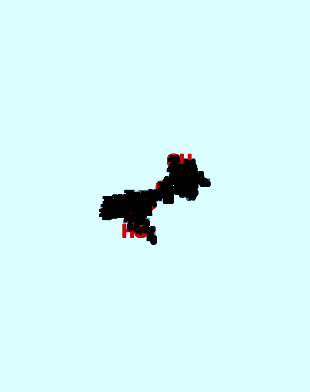 C=CCC(O)CC1[C@@H](OC)C(CC(CO[Si](CC)(CC)CC)O[Si](CC)(CC)CC)O[C@H]1CC1OC(CC[C@@H]2OC(CC[C@]34CC(O)C(O3)[C@H]3CC(O4)C(O[Si](CC)(CC)CC)C(CC=C)O3)CC2=C)CC(C)C1=C